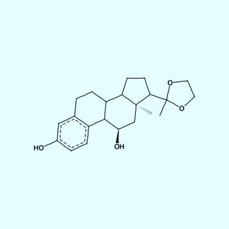 CC1(C2CCC3C4CCc5cc(O)ccc5C4[C@H](O)C[C@@]32C)OCCO1